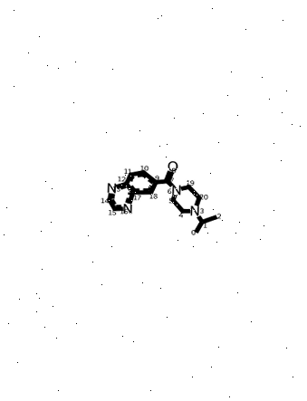 CC(C)N1CCN(C(=O)c2ccc3nccnc3c2)CC1